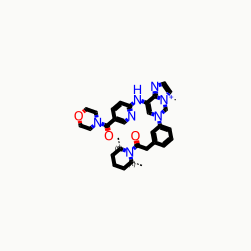 C[C@@H]1CCC[C@H](C)N1C(=O)Cc1cccc(N2C=C(Nc3ccc(C(=O)N4CCOCC4)cn3)C3=NC=C[N+]3C2)c1